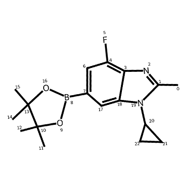 Cc1nc2c(F)cc(B3OC(C)(C)C(C)(C)O3)cc2n1C1CC1